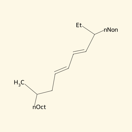 CCCCCCCCCC(C=CC=CCC(C)CCCCCCCC)CC